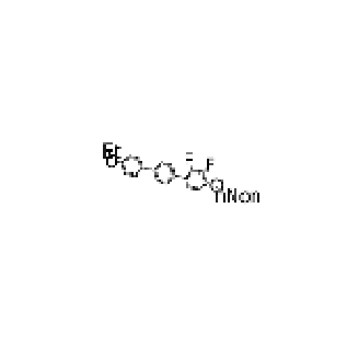 CCCCCCCCCOc1ccc(-c2ccc(-c3ccc(OCC)cc3)cc2)c(F)c1F